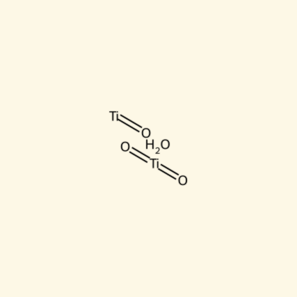 O.[O]=[Ti].[O]=[Ti]=[O]